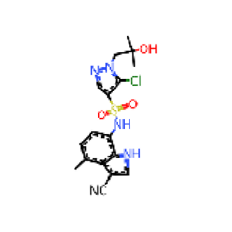 Cc1ccc(NS(=O)(=O)c2cnn(CC(C)(C)O)c2Cl)c2[nH]cc(C#N)c12